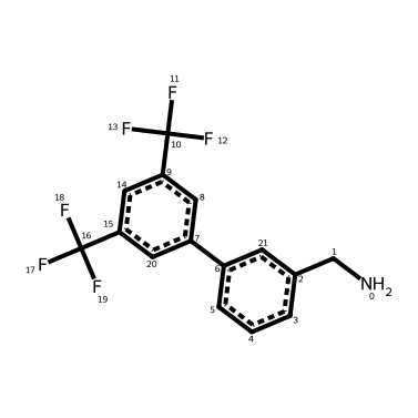 NCc1cccc(-c2cc(C(F)(F)F)cc(C(F)(F)F)c2)c1